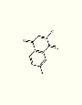 Cc1ccc2c(c1)C(=O)C(Cl)=CC2=O